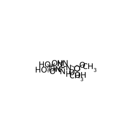 COc1cc(O)c(OC)c(CNc2ncnc3c2ncn3[C@@H]2O[C@H](CO)[C@@H](O)[C@H]2O)c1